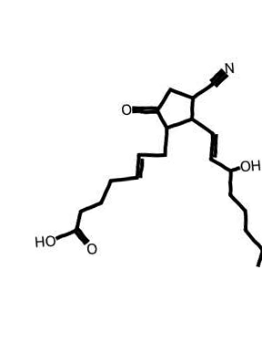 CCCCCC(O)C=CC1C(C#N)CC(=O)C1CC=CCCCC(=O)O